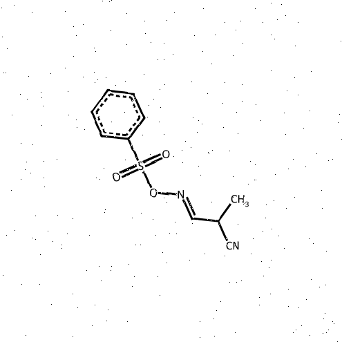 CC(C#N)/C=N/OS(=O)(=O)c1ccccc1